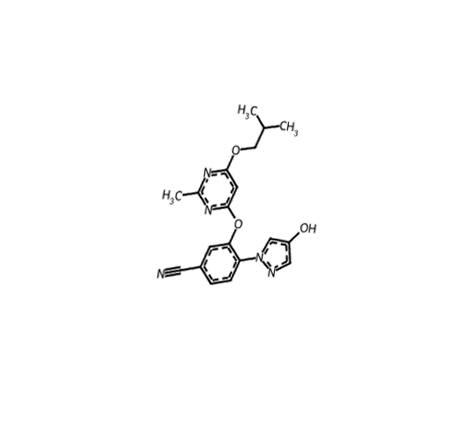 Cc1nc(OCC(C)C)cc(Oc2cc(C#N)ccc2-n2cc(O)cn2)n1